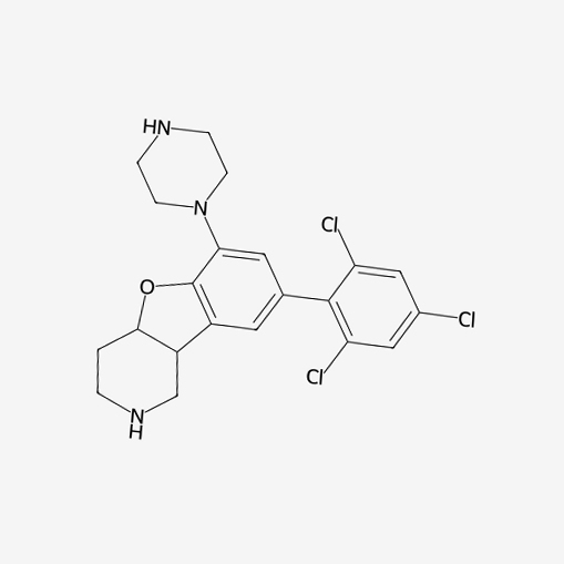 Clc1cc(Cl)c(-c2cc3c(c(N4CCNCC4)c2)OC2CCNCC32)c(Cl)c1